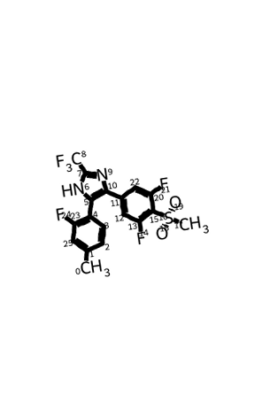 Cc1ccc(-c2[nH]c(C(F)(F)F)nc2-c2cc(F)c(S(C)(=O)=O)c(F)c2)c(F)c1